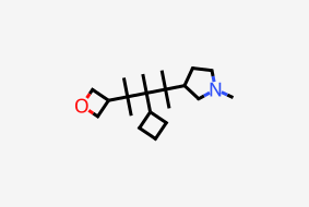 CN1CCC(C(C)(C)C(C)(C2CCC2)C(C)(C)C2COC2)C1